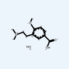 COc1ccc(C(=O)O)cc1CCN(C)C.Cl